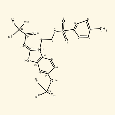 Cc1ccc(S(=O)(=O)OCCn2c(=NC(=O)C(F)(F)F)sc3cc(OC(F)(F)F)ccc32)cc1